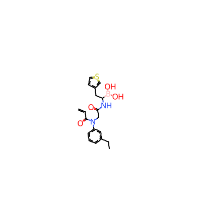 C=CC(=O)N(CC(=O)NC(Cc1ccsc1)B(O)O)c1cccc(CC)c1